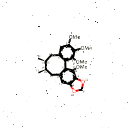 COc1cc2c(c(OC)c1OC)-c1c(cc3c(c1OC)OCO3)C[C@@H](C)[C@@H](C)C2